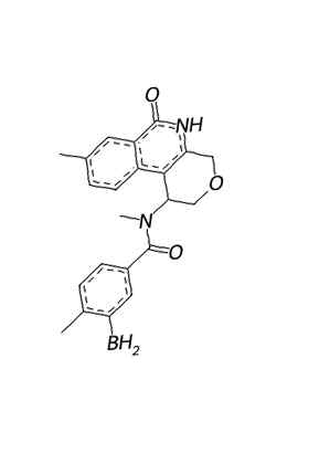 Bc1cc(C(=O)N(C)C2COCc3[nH]c(=O)c4cc(C)ccc4c32)ccc1C